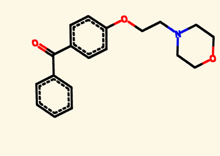 O=C(c1ccccc1)c1ccc(OCCN2CCOCC2)cc1